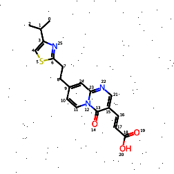 CC(C)c1csc(CCc2ccn3c(=O)c(C=CC(=O)O)cnc3c2)n1